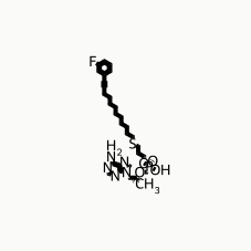 C[C@H](Cn1cnc2c(N)ncnc21)OCP(=O)(O)OCCCSCCCCCCCCCCC#Cc1cccc(F)c1